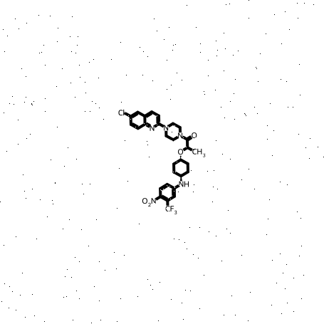 CC(O[C@H]1CC[C@H](Nc2ccc([N+](=O)[O-])c(C(F)(F)F)c2)CC1)C(=O)N1CCN(c2ccc3cc(Cl)ccc3n2)CC1